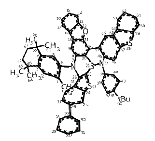 Cc1cc2c(cc1N1c3cc4c(oc5ccccc54)c4c3B(c3sc5cc(-c6ccccc6)ccc5c31)N(c1ccc(C(C)(C)C)cc1)c1cc3sc5ccccc5c3cc1-4)C(C)(C)CCC2(C)C